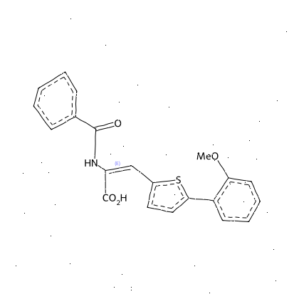 COc1ccccc1-c1ccc(/C=C(/NC(=O)c2ccccc2)C(=O)O)s1